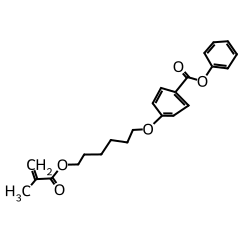 C=C(C)C(=O)OCCCCCCOc1ccc(C(=O)Oc2ccccc2)cc1